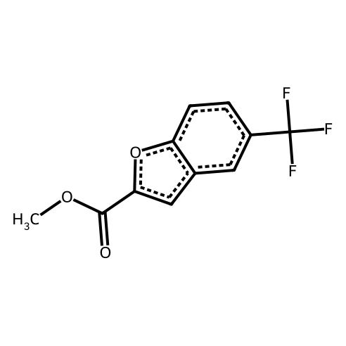 COC(=O)c1cc2cc(C(F)(F)F)ccc2o1